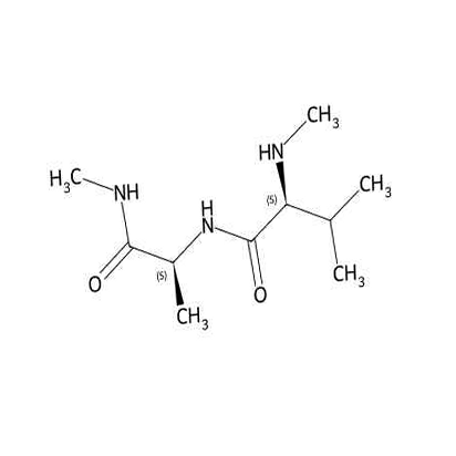 CNC(=O)[C@H](C)NC(=O)[C@@H](NC)C(C)C